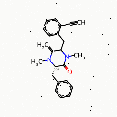 C#Cc1ccccc1CC1C(=C)N(C)[C@@H](Cc2ccccc2)C(=O)N1C